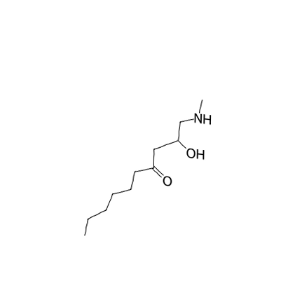 CCCCCCC(=O)CC(O)CNC